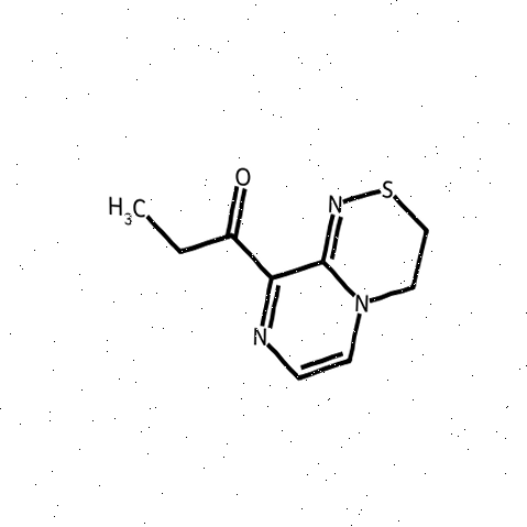 CCC(=O)C1=NC=CN2CCSN=C12